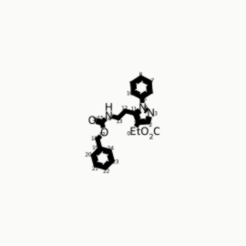 CCOC(=O)c1cnn(-c2ccccc2)c1CCNC(=O)OCc1ccccc1